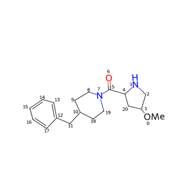 COC1CNC(C(=O)N2CCC(Cc3ccccc3)CC2)C1